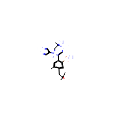 Cc1cc(C2=CNC(C)(N)C[N+]2(C)c2cn[nH]c2)c(S(N)(=O)=O)cc1CC(C)(C)O